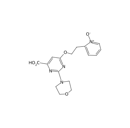 O=C(O)c1cc(OCCc2cccc[n+]2[O-])nc(N2CCOCC2)n1